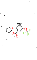 O=C1OC2(CCCC2)Oc2ccc(OC(F)(F)F)cc21.[Ag]